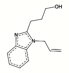 C=CCn1c(CCCO)nc2ccccc21